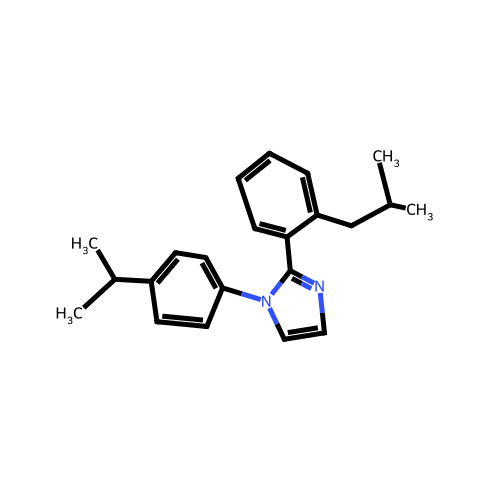 CC(C)Cc1ccccc1-c1nccn1-c1ccc(C(C)C)cc1